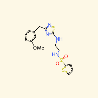 COc1cccc(Cc2nsc(NCCNS(=O)(=O)c3cccs3)n2)c1